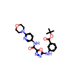 CC(C)(C)OC(=O)c1cccc(Nc2nnc(C(=O)Nc3ccc(N4CCOCC4)nc3)o2)c1